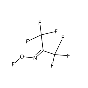 FON=C(C(F)(F)F)C(F)(F)F